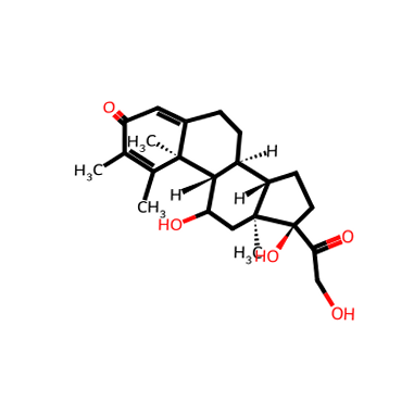 CC1=C(C)[C@@]2(C)C(=CC1=O)CC[C@@H]1[C@@H]2C(O)C[C@@]2(C)[C@H]1CC[C@]2(O)C(=O)CO